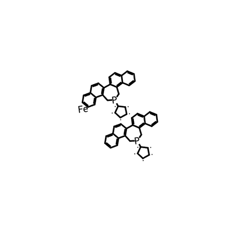 [CH]1[CH][CH][C](P2Cc3c(ccc4ccccc34)-c3ccc4ccccc4c3C2)[CH]1.[CH]1[CH][CH][C](P2Cc3c(ccc4ccccc34)-c3ccc4ccccc4c3C2)[CH]1.[Fe]